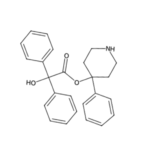 O=C(OC1(c2ccccc2)CCNCC1)C(O)(c1ccccc1)c1ccccc1